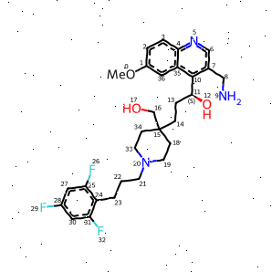 COc1ccc2ncc(CN)c([C@@H](O)CCC3(CO)CCN(CCCc4c(F)cc(F)cc4F)CC3)c2c1